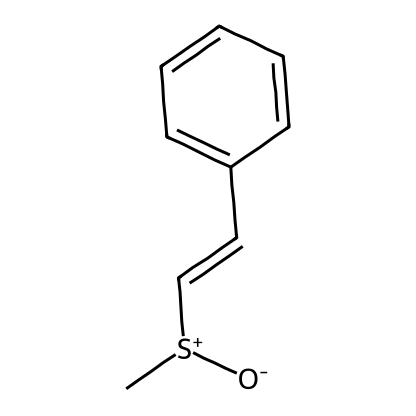 C[S+]([O-])/C=C/c1ccccc1